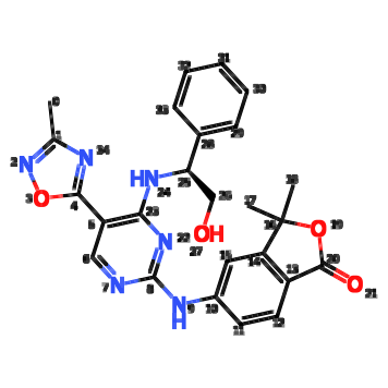 Cc1noc(-c2cnc(Nc3ccc4c(c3)C(C)(C)OC4=O)nc2N[C@H](CO)c2ccccc2)n1